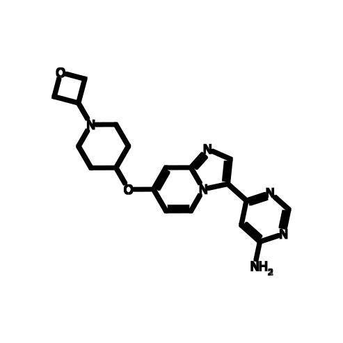 Nc1cc(-c2cnc3cc(OC4CCN(C5COC5)CC4)ccn23)ncn1